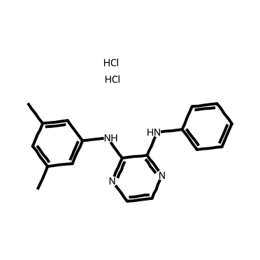 Cc1cc(C)cc(Nc2nccnc2Nc2ccccc2)c1.Cl.Cl